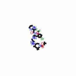 CC1CC(C)(C)CN(C(=O)OC(C)(C)C)CCC1n1cc(Cn2cc(NC(=O)c3cnn4cccnc34)c(-c3cc(Br)ccc3OC(F)F)n2)nn1